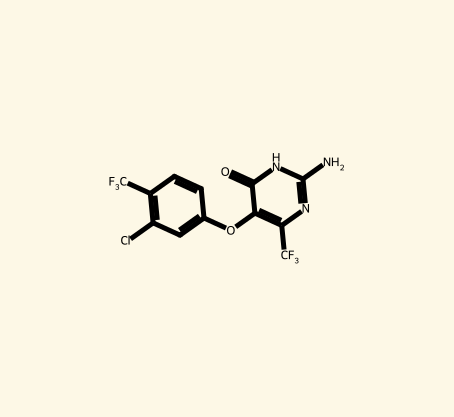 Nc1nc(C(F)(F)F)c(Oc2ccc(C(F)(F)F)c(Cl)c2)c(=O)[nH]1